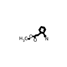 CCOC(=O)/C=C/c1ccccc1C#N